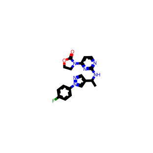 CC(Nc1nccc(N2CCOC2=O)n1)c1cnn(-c2ccc(F)cc2)c1